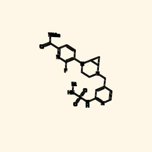 CCNS(=O)(=O)Nc1cc(CN2CCN(c3ccc(C(=O)NC)nc3F)C3CC32)ccn1